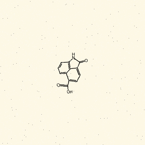 O=C(O)c1ccc2c3c(cccc13)NC2=O